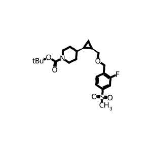 CC(C)(C)OC(=O)N1CCC([C@H]2C[C@H]2COCc2ccc(S(C)(=O)=O)cc2F)CC1